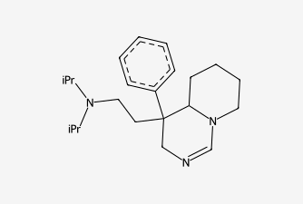 CC(C)N(CCC1(c2ccccc2)CN=CN2CCCCC21)C(C)C